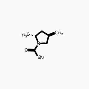 C=C1C[C@@H](C)N(C(=O)C(C)CC)C1